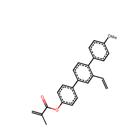 C=Cc1cc(-c2ccc(OC(=O)C(=C)C)cc2)ccc1-c1ccc(OC)cc1